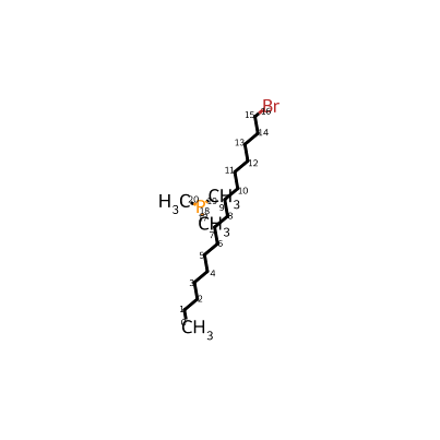 CCCCCCCCCCCCCCCCBr.CP(C)C